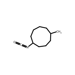 CC1CCCCC(N=C=O)CCC1